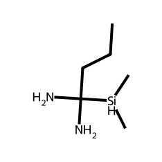 CCCC(N)(N)[SiH](C)C